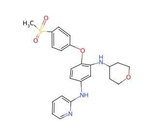 CS(=O)(=O)c1ccc(Oc2ccc(Nc3ccccn3)cc2NC2CCOCC2)cc1